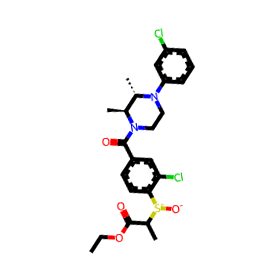 CCOC(=O)C(C)[S+]([O-])c1ccc(C(=O)N2CCN(c3cccc(Cl)c3)[C@@H](C)[C@@H]2C)cc1Cl